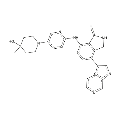 CC1(O)CCN(c2ccc(Nc3ccc(-c4cnc5cnccn45)c4c3C(=O)NC4)nc2)CC1